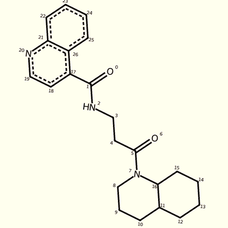 O=C(NCCC(=O)N1CCCC2CCCCC21)c1ccnc2ccccc12